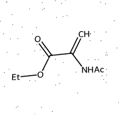 [CH]=C(NC(C)=O)C(=O)OCC